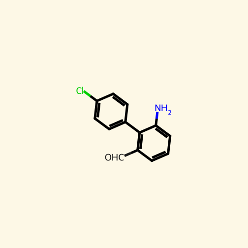 Nc1cccc(C=O)c1-c1ccc(Cl)cc1